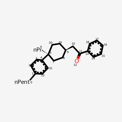 CCCCCc1ccc([C@]2(CCC)CC[C@H](CC(=O)c3ccccc3)CC2)cc1